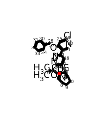 CC(C)(C)OC(=O)N1C2CCC1C(F)C(Oc1ccc(-c3cnc(Cl)cc3OCc3ccccc3)nn1)C2